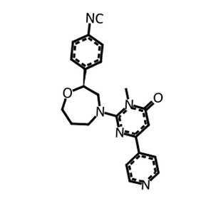 [C-]#[N+]c1ccc([C@H]2CN(c3nc(-c4ccncc4)cc(=O)n3C)CCCO2)cc1